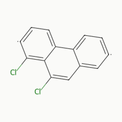 Clc1[c]ccc2c1c(Cl)cc1c[c]ccc12